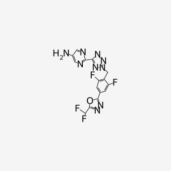 Nc1cnc(-c2nnn(Cc3c(F)cc(-c4nnc(C(F)F)o4)cc3F)n2)nc1